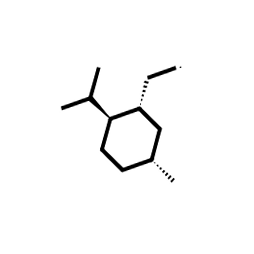 [CH2]C[C@@H]1C[C@H](C)CC[C@H]1C(C)C